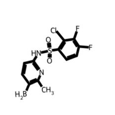 Bc1ccc(NS(=O)(=O)c2ccc(F)c(F)c2Cl)nc1C